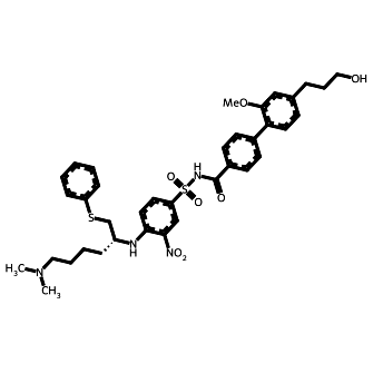 COc1cc(CCCO)ccc1-c1ccc(C(=O)NS(=O)(=O)c2ccc(N[C@H](CCCCN(C)C)CSc3ccccc3)c([N+](=O)[O-])c2)cc1